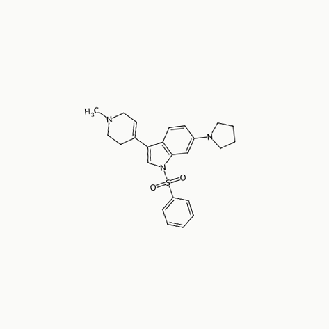 CN1CC=C(c2cn(S(=O)(=O)c3ccccc3)c3cc(N4CCCC4)ccc23)CC1